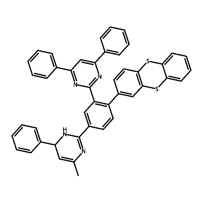 CC1=CC(c2ccccc2)NC(c2ccc(-c3ccc4c(c3)Sc3ccccc3S4)c(-c3nc(-c4ccccc4)cc(-c4ccccc4)n3)c2)=N1